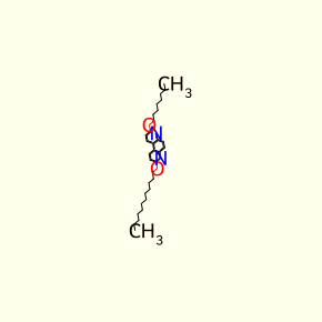 CCCCCCCCCCCCOc1ccc2c(ccc3nc(OCCCCCCCC)ccc32)n1